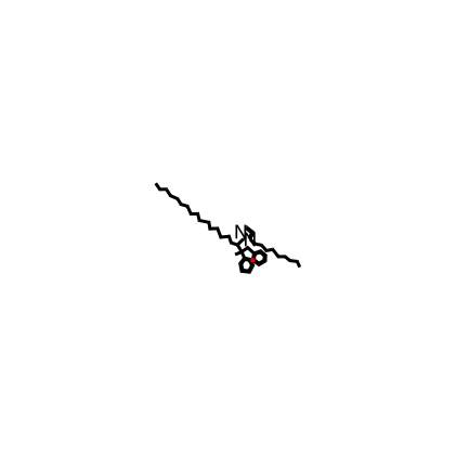 CCCCCCCCCCCCCCCCC(c1nccn1CCCCCCCCC)C(C)(Cc1ccccc1)c1ccccc1